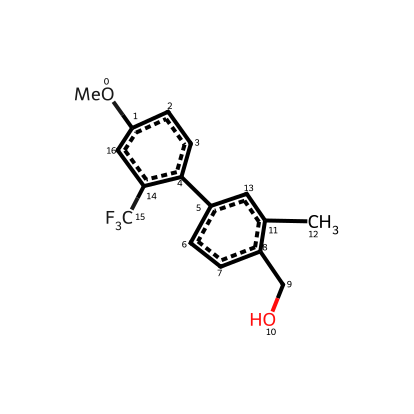 COc1ccc(-c2ccc(CO)c(C)c2)c(C(F)(F)F)c1